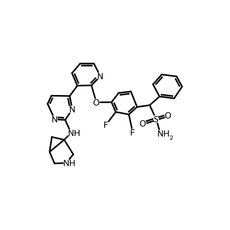 NS(=O)(=O)C(c1ccccc1)c1ccc(Oc2ncccc2-c2ccnc(NC34CNCC3C4)n2)c(F)c1F